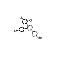 CC(C)(C)C1CCC(N2CCN(c3ccc(Cl)cc3Cl)C(c3ccc(Cl)cc3)C2)CC1